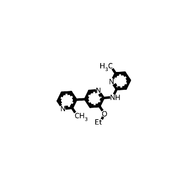 CCOc1cc(-c2cccnc2C)cnc1Nc1cccc(C)n1